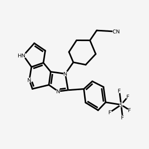 N#CCC1CCC(n2c(-c3ccc(S(F)(F)(F)(F)F)cc3)nc3cnc4[nH]ccc4c32)CC1